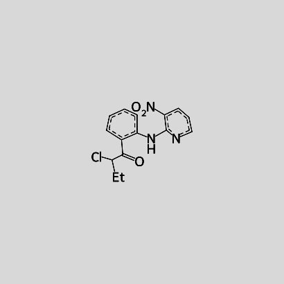 CCC(Cl)C(=O)c1ccccc1Nc1ncccc1[N+](=O)[O-]